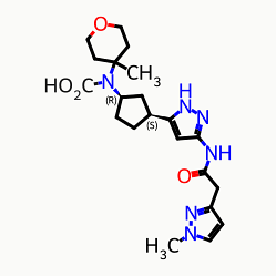 Cn1ccc(CC(=O)Nc2cc([C@H]3CC[C@@H](N(C(=O)O)C4(C)CCOCC4)C3)[nH]n2)n1